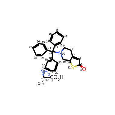 CC(C)[C@H](N)C(=O)O.O=C1C=C2CCN(C(c3ccccc3)(c3ccccc3)c3ccccc3)CC2S1